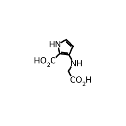 O=C(O)CNc1cc[nH]c1C(=O)O